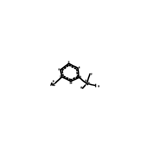 CC(=O)c1cccc([N+](C)(C)I)c1